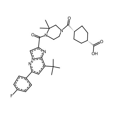 CC(C)(C)c1cc(-c2ccc(F)cc2)nn2cc(C(=O)N3CCN(C(=O)[C@H]4CC[C@@H](C(=O)O)CC4)CC3(C)C)nc12